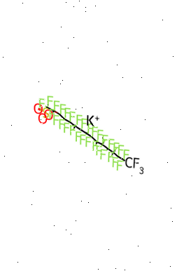 O=S(=O)([O-])C(F)(F)C(F)(F)C(F)(F)C(F)(F)C(F)(F)C(F)(F)C(F)(F)C(F)(F)C(F)(F)C(F)(F)C(F)(F)C(F)(F)C(F)(F)C(F)(F)C(F)(F)C(F)(F)F.[K+]